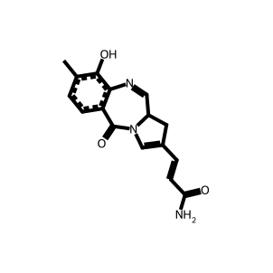 Cc1ccc2c(c1O)N=CC1CC(C=CC(N)=O)=CN1C2=O